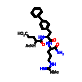 CNC(=N)NCCCC(NC(=O)C(Cc1ccc(-c2ccccc2)cc1)NC(=O)C(CCC(=O)O)NC(C)=O)C(N)=O